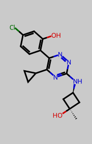 C[C@]1(O)C[C@@H](Nc2nnc(-c3ccc(Cl)cc3O)c(C3CC3)n2)C1